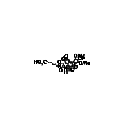 COc1cc([C@@H]2c3cc4c(cc3[C@@H](NC3=CC(=O)N(CCCCCCC(=O)O)C3=O)[C@H]3COC(=O)[C@H]23)OCO4)cc(OC)c1O